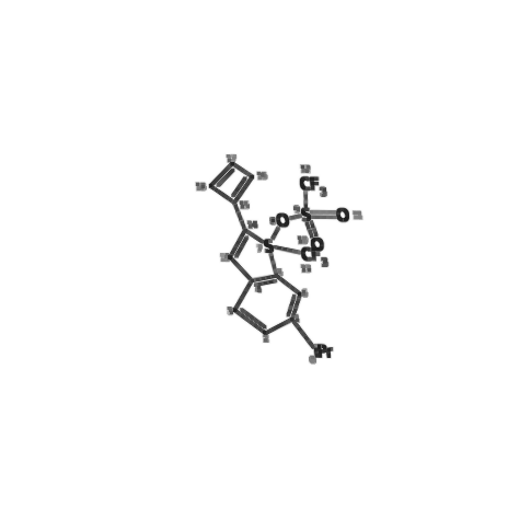 CC(C)c1ccc2c(c1)S(OS(=O)(=O)C(F)(F)F)(C(F)(F)F)C(C1=CC=C1)=C2